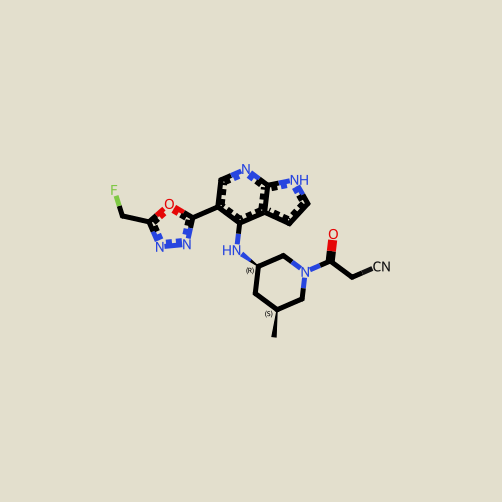 C[C@H]1C[C@@H](Nc2c(-c3nnc(CF)o3)cnc3[nH]ccc23)CN(C(=O)CC#N)C1